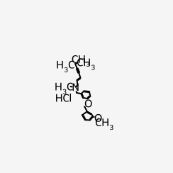 COc1cccc(COc2cccc(CN(C)CC=CC#CC(C)(C)C)c2)c1.Cl